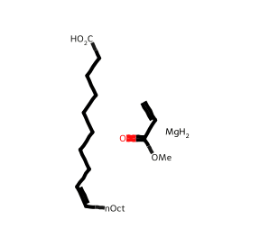 C=CC(=O)OC.CCCCCCCC/C=C\CCCCCCCC(=O)O.[MgH2]